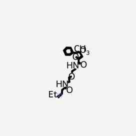 CC/C=C\CC(=O)NCCOCCNC(=O)C1=CC(=O)C(C)(c2ccccc2)O1